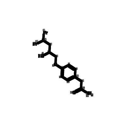 CC(C)N(CC(O)COc1ccc(CC(N)=O)cc1)C(C)C